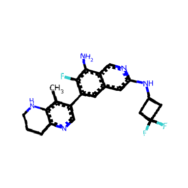 Cc1c(-c2cc3cc(NC4CC(F)(F)C4)ncc3c(N)c2F)cnc2c1NCCC2